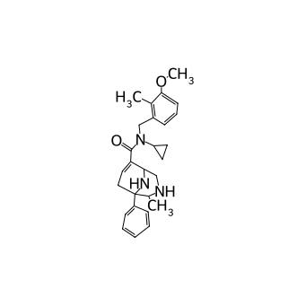 COc1cccc(CN(C(=O)C2=CCC3(c4ccccc4)NC2CNC3C)C2CC2)c1C